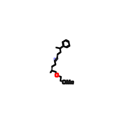 COCCOCC(C)CC/C=C/CCC(C)c1ccccc1